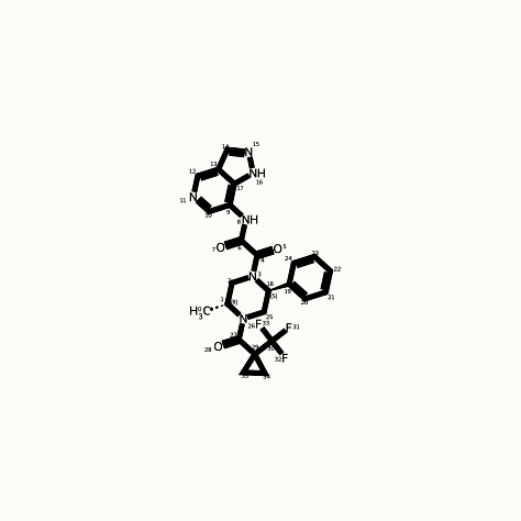 C[C@@H]1CN(C(=O)C(=O)Nc2cncc3cn[nH]c23)[C@@H](c2ccccc2)CN1C(=O)C1(C(F)(F)F)CC1